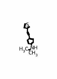 CC(C)Nc1ccc(C#Cc2ccsc2)cc1